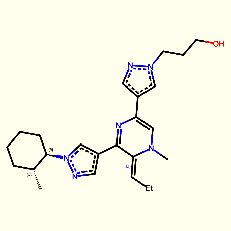 CC/C=C1/C(c2cnn([C@@H]3CCCC[C@H]3C)c2)=NC(c2cnn(CCCO)c2)=CN1C